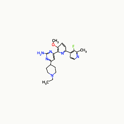 CCN1CCC(c2cc(-c3nc(-c4ccnc(C)c4F)ccc3OC)nc(N)n2)CC1